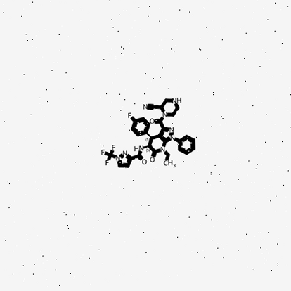 CCN1C(=O)[C@@H](NC(=O)c2ccn(C(F)(F)F)n2)[C@@H](c2ccc(F)cc2)c2c(C(=O)N3CCNCC3C#N)nn(-c3ccccc3)c21